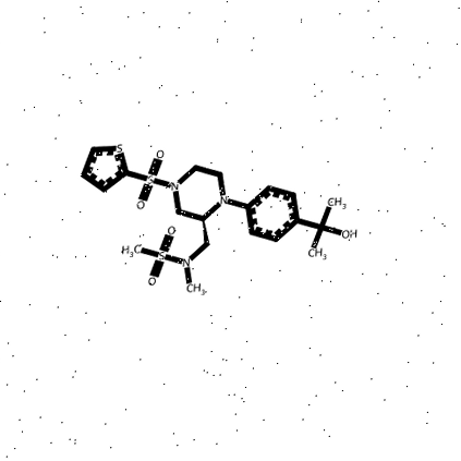 CN(C[C@H]1CN(S(=O)(=O)c2cccs2)CCN1c1ccc(C(C)(C)O)cc1)S(C)(=O)=O